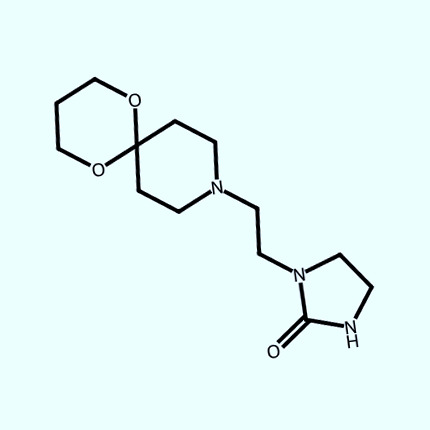 O=C1NCCN1CCN1CCC2(CC1)OCCCO2